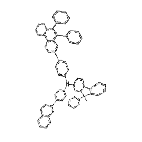 CC1(c2ccccc2)c2ccccc2-c2ccc(N(c3ccc(-c4ccc5ccccc5c4)cc3)c3ccc(-c4ccc5c(c4)c(-c4ccccc4)c(-c4ccccc4)c4ccccc45)cc3)cc21